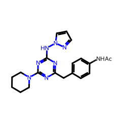 CC(=O)Nc1ccc(Cc2nc(Nn3cccn3)nc(N3CCCCC3)n2)cc1